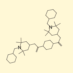 C=C(CC1CC(C)(C)N(CC2CCCCC2)C(C)(C)C1)C1CCC(C(=C)CC2CC(C)(C)N(CC3CCCCC3)C(C)(C)C2)CC1